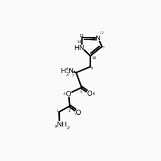 NCC(=O)OC(=O)[C@@H](N)Cc1cnc[nH]1